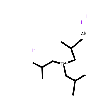 CC(C)[CH2][Ti+4]([CH2]C(C)C)[CH2]C(C)C.[Al].[I-].[I-].[I-].[I-]